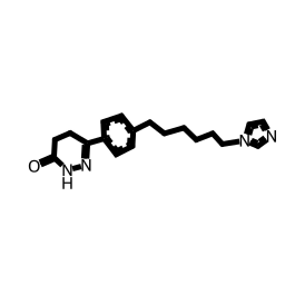 O=C1CCC(c2ccc(CCCCCCn3ccnc3)cc2)=NN1